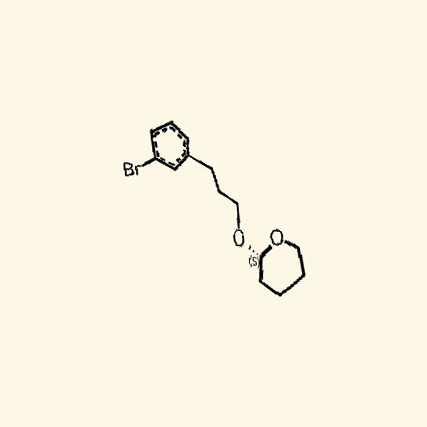 Brc1cccc(CCCO[C@H]2CCCCO2)c1